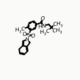 Cc1ccc(C(=O)NCC(C)(C)C)cc1S(=O)(=O)N1C=C2CC=CC=C2C1